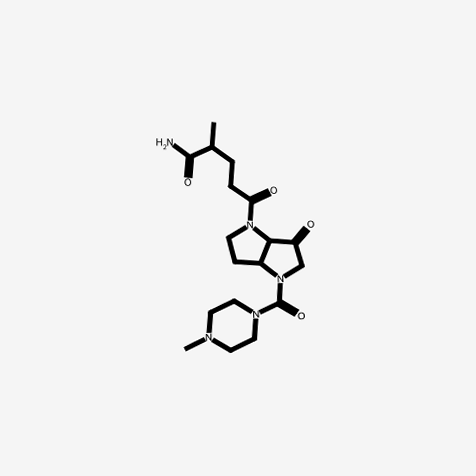 CC(C[CH]C(=O)N1CCC2C1C(=O)CN2C(=O)N1CCN(C)CC1)C(N)=O